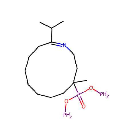 CC(C)/C1=N/CCC(C)(P(=O)(OP)OP)CCCCCCC1